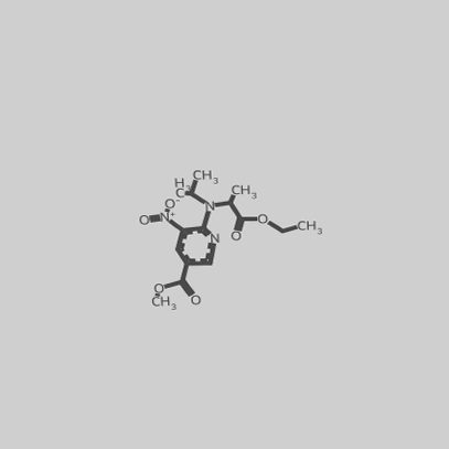 CCOC(=O)C(C)N(c1ncc(C(=O)OC)cc1[N+](=O)[O-])C(C)C